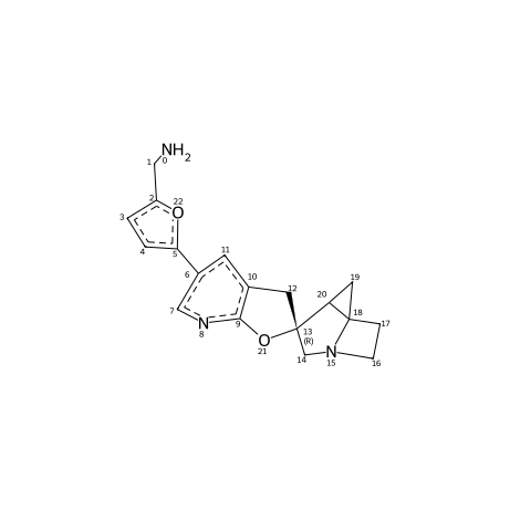 NCc1ccc(-c2cnc3c(c2)C[C@@]2(CN4CCC45CC52)O3)o1